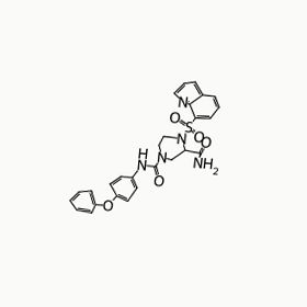 NC(=O)C1CN(C(=O)Nc2ccc(Oc3ccccc3)cc2)CCN1S(=O)(=O)c1cccc2cccnc12